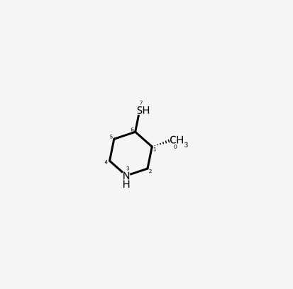 C[C@@H]1CNCCC1S